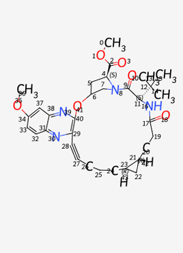 COC(=O)[C@@H]1CC2CN1C(=O)[C@H](C(C)(C)C)NC(=O)CC[C@@H]1C[C@H]1CCCC#Cc1nc3ccc(OC)cc3nc1O2